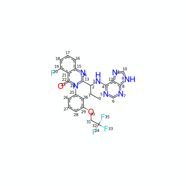 CCC(Nc1ncnc2[nH]cnc12)c1nc2cccc(F)c2c(=O)n1-c1cccc(OCC(F)(F)F)c1